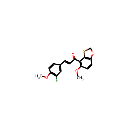 COc1ccc(C=CC(=O)c2c(OC)ccc3c2SCO3)cc1F